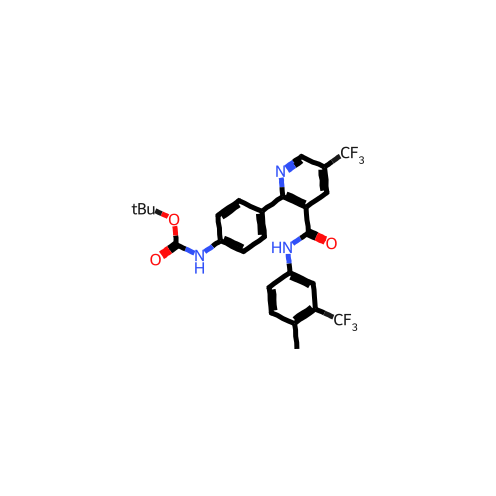 Cc1ccc(NC(=O)c2cc(C(F)(F)F)cnc2-c2ccc(NC(=O)OC(C)(C)C)cc2)cc1C(F)(F)F